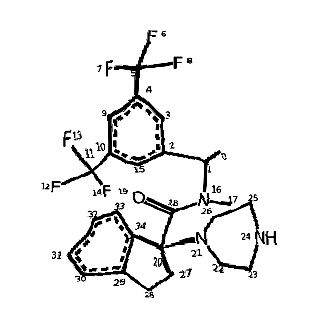 CC(c1cc(C(F)(F)F)cc(C(F)(F)F)c1)N(C)C(=O)[C@]1(N2CCNCC2)CCc2ccccc21